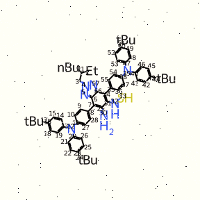 CCCCC(CC)Cn1nc2c(-c3ccc(N(c4ccc(C(C)(C)C)cc4)c4ccc(C(C)(C)C)cc4)cc3)c(N)c(NS)c(-c3ccc(N(c4ccc(C(C)(C)C)cc4)c4ccc(C(C)(C)C)cc4)cc3)c2n1